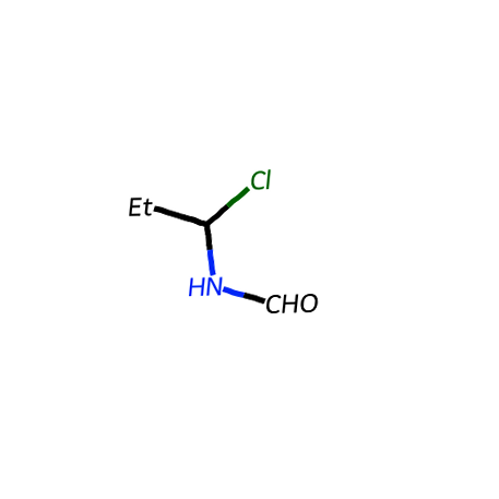 CCC(Cl)NC=O